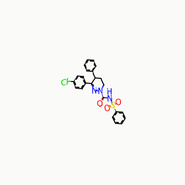 O=C(NS(=O)(=O)c1ccccc1)N1CCC(c2ccccc2)C(c2ccc(Cl)cc2)=N1